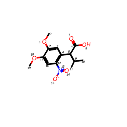 COc1cc(C(C(=O)O)C(C)C)c([N+](=O)[O-])cc1OC